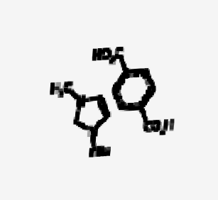 CCCCN1C=CN(C)C1.O=C(O)c1ccc(C(=O)O)cc1